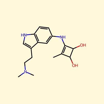 CC1=C(Nc2ccc3[nH]cc(CCN(C)C)c3c2)C(O)C1O